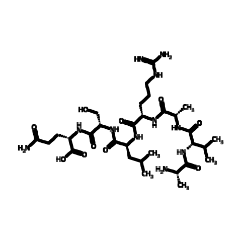 CC(C)C[C@H](NC(=O)[C@H](CCCNC(=N)N)NC(=O)[C@H](C)NC(=O)[C@@H](NC(=O)[C@H](C)N)C(C)C)C(=O)N[C@@H](CO)C(=O)N[C@@H](CCC(N)=O)C(=O)O